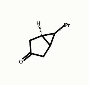 CC(C)C1C2CC(=O)C[C@H]21